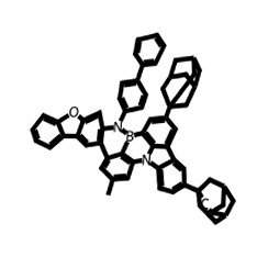 Cc1cc2c3c(c1)-n1c4ccc(C56CCC7CC(CC7C5)C6)cc4c4cc(C56CC7CC(CC(C7)C5)C6)cc(c41)B3N(c1ccc(-c3ccccc3)cc1)c1cc3oc4ccccc4c3cc1-2